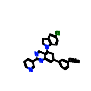 COc1cccc(-c2cc(N3CCc4cc(Cl)ccc43)c3cnc(-c4cccnc4)nc3c2)c1